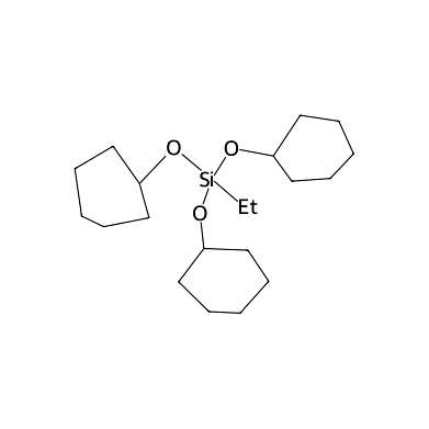 CC[Si](OC1CCCCC1)(OC1CCCCC1)OC1CCCCC1